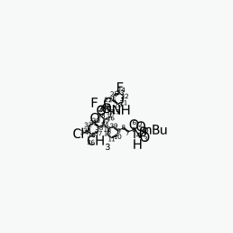 CCCCS(=O)(=O)NC(=O)C=Cc1cccc(-c2c(CC(=O)Nc3ccc(F)cc3C(F)(F)F)c(=O)oc3cc(Cl)c(C)cc23)c1